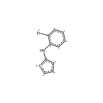 CCc1ccccc1Nc1cccs1